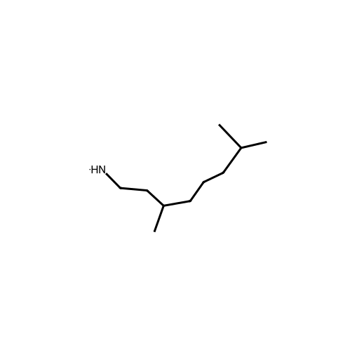 CC(C)CCCC(C)CC[NH]